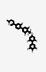 CC1CCC(c2ccc(-c3cc(F)c(C(F)(F)Oc4cc(F)c(-c5cc(F)c(F)c(F)c5)c(F)c4)c(F)c3)c(F)c2)=CO1